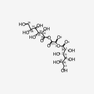 O=C(OC(=O)[C@H](O)[C@@H](O)[C@H](O)[C@H](O)CO)C(=O)OC(=O)[C@H](O)[C@@H](O)[C@H](O)[C@H](O)CO